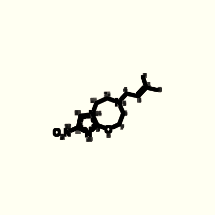 CC(C)=CCN1CCOc2nc([N+](=O)[O-])cn2CC1